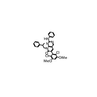 COc1cc(OC)c(Cl)c(-c2cc3cnc(Nc4ccccc4)nc3n(CC(C)c3ccccc3)c2=O)c1Cl